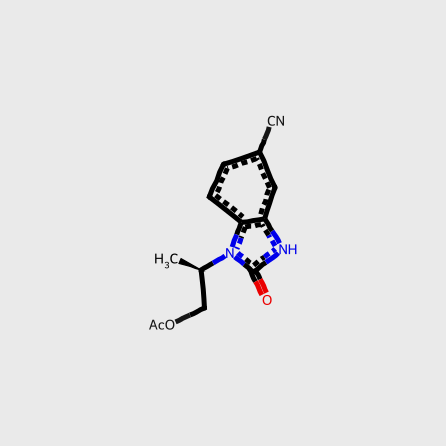 CC(=O)OC[C@@H](C)n1c(=O)[nH]c2cc(C#N)ccc21